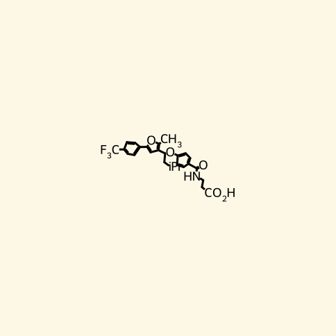 Cc1oc(-c2ccc(C(F)(F)F)cc2)cc1C(CC(C)C)Oc1ccc(C(=O)NCCC(=O)O)cc1